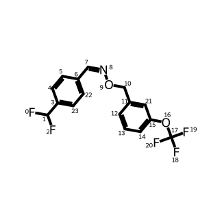 FC(F)c1ccc(/[C]=N\OCc2cccc(OC(F)(F)F)c2)cc1